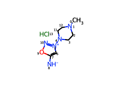 CN1CCN([n+]2cc([NH-])on2)CC1.Cl